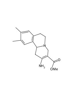 COC(=O)C1=C(N)CC2c3cc(C)c(C)cc3CCN2C1